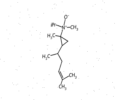 CC(C)=CCC(C)C1CC1(C)[N+](C)([O-])C(C)C